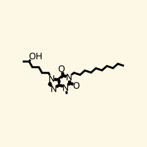 CCCCCCCCCCn1c(=O)c2c(ncn2CCCCC(C)O)n(C)c1=O